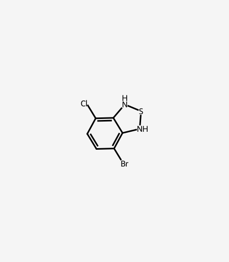 Clc1ccc(Br)c2c1NSN2